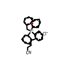 N#CCCCc1ccccc1[P+](Cc1ccccc1)(c1ccccc1)c1ccccc1.[Cl-]